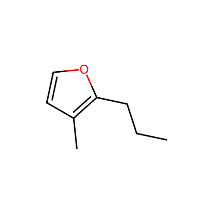 CCCc1occc1C